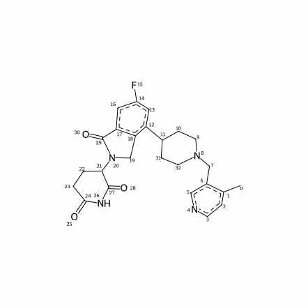 Cc1ccncc1CN1CCC(c2cc(F)cc3c2CN(C2CCC(=O)NC2=O)C3=O)CC1